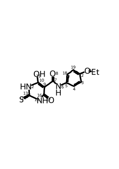 CCOc1ccc(NC(=O)c2c(O)[nH]c(=S)[nH]c2=O)cc1